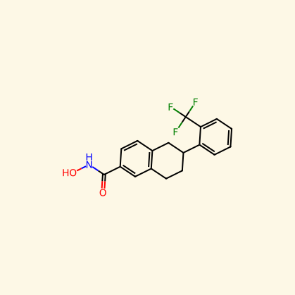 O=C(NO)c1ccc2c(c1)CCC(c1ccccc1C(F)(F)F)C2